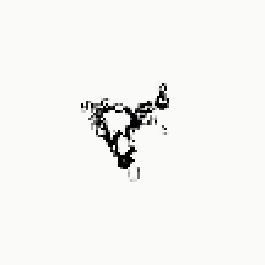 CO[C@@]1(CN2CCN([C@H]3CCOC(=O)C3)CC2)/C=C/C[C@H](C)[C@@H](C)S(=O)(=O)NC(=O)c2ccc3c(c2)N(CCCCc2cc(Cl)ccc2CO3)C[C@@H]2CCC21